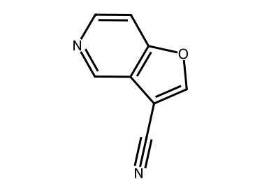 N#Cc1coc2ccncc12